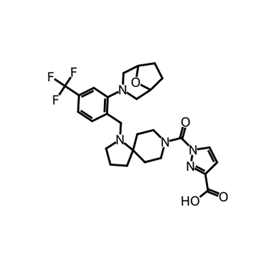 O=C(O)c1ccn(C(=O)N2CCC3(CCCN3Cc3ccc(C(F)(F)F)cc3N3CC4CCC(C3)O4)CC2)n1